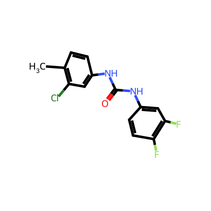 Cc1ccc(NC(=O)Nc2ccc(F)c(F)c2)cc1Cl